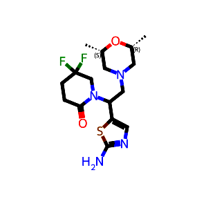 C[C@@H]1CN(CC(c2cnc(N)s2)N2CC(F)(F)CCC2=O)C[C@H](C)O1